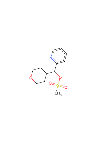 CS(=O)(=O)OC(c1ccccn1)C1CCOCC1